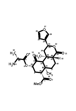 COC(=O)[C@@H]1C[C@H](OC(=O)[C@@H](C)N)C(=O)C2[C@@]1(C)CC[C@H]1C(=O)O[C@H](c3ccoc3)C[C@]21C